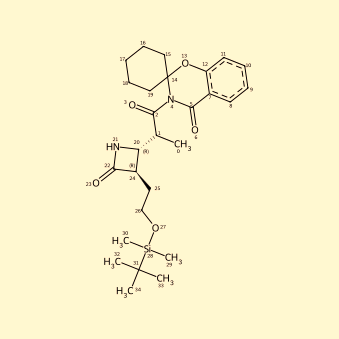 CC(C(=O)N1C(=O)c2ccccc2OC12CCCCC2)[C@H]1NC(=O)[C@@H]1CCO[Si](C)(C)C(C)(C)C